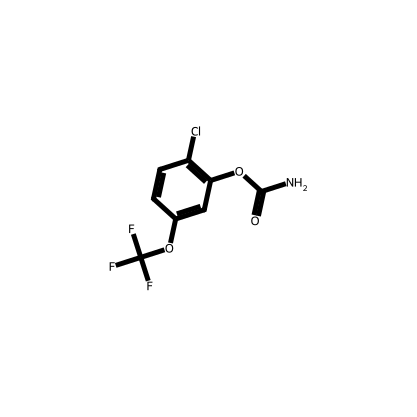 NC(=O)Oc1cc(OC(F)(F)F)ccc1Cl